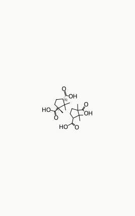 CC1(C(=O)O)CCC(C(=O)O)C1(C)C.CC1(C)[C@@H](C(=O)O)CC[C@@]1(C)C(=O)O